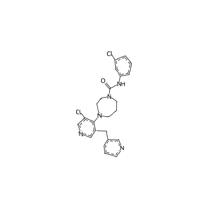 O=C(Nc1cccc(Cl)c1)N1CCCN(c2c(Cl)cncc2Cc2cccnc2)CC1